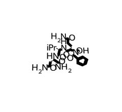 CC(C)[C@H](NC(=O)[C@H](CCC(N)=O)N(O)C(=O)c1ccccc1)C(=O)N[C@@H](CC(N)=O)C(N)=O